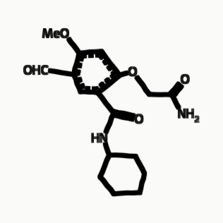 COc1cc(OCC(N)=O)c(C(=O)NC2CCCCC2)cc1C=O